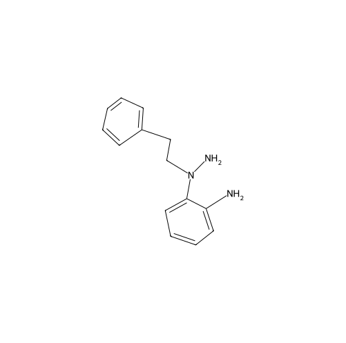 Nc1ccccc1N(N)CCc1ccccc1